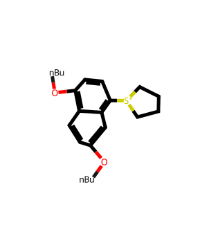 CCCCOc1ccc2c(OCCCC)ccc([S+]3CCCC3)c2c1